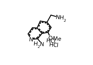 COc1cc(CN)cc2ccnc(N)c12.Cl.Cl